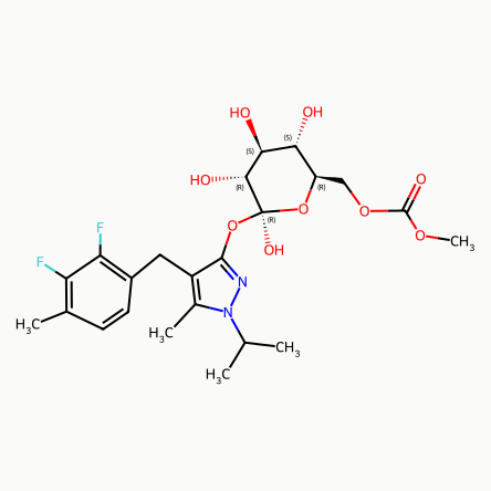 COC(=O)OC[C@H]1O[C@@](O)(Oc2nn(C(C)C)c(C)c2Cc2ccc(C)c(F)c2F)[C@H](O)[C@@H](O)[C@@H]1O